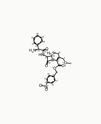 COCC1=C(C(=O)OCc2ccc([N+](=O)[O-])cc2)N2C(=O)C(NC(=O)C(N)c3ccccc3)[C@H]2SC1